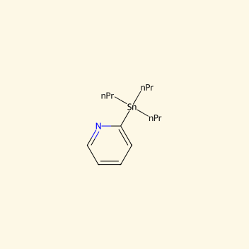 CC[CH2][Sn]([CH2]CC)([CH2]CC)[c]1ccccn1